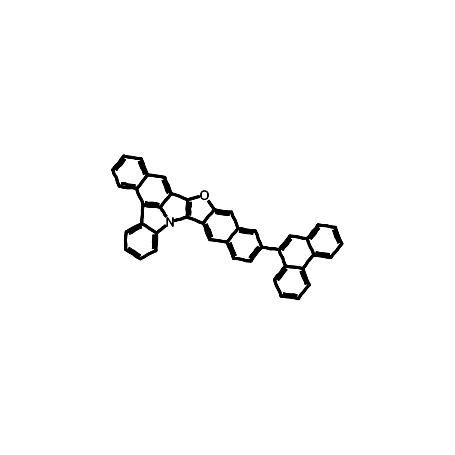 c1ccc2c(c1)cc(-c1ccc3cc4c(cc3c1)oc1c3cc5ccccc5c5c6ccccc6n(c41)c35)c1ccccc12